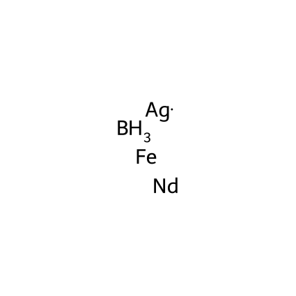 B.[Ag].[Fe].[Nd]